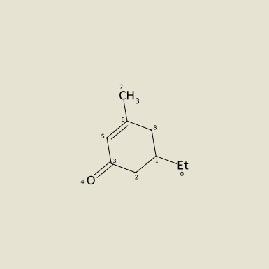 CCC1CC(=O)C=C(C)C1